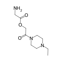 CCN1CCN(C(=O)COC(=O)CN)CC1